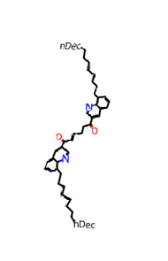 CCCCCCCCCCCCCCCCCCc1cccc2cc(C(=O)CCCCC(=O)c3cnc4c(CCCCCCCCCCCCCCCCCC)cccc4c3)cnc12